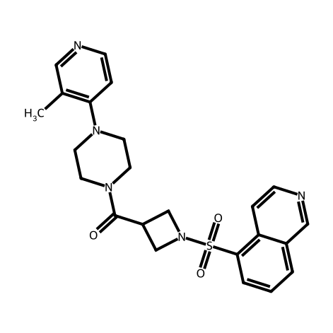 Cc1cnccc1N1CCN(C(=O)C2CN(S(=O)(=O)c3cccc4cnccc34)C2)CC1